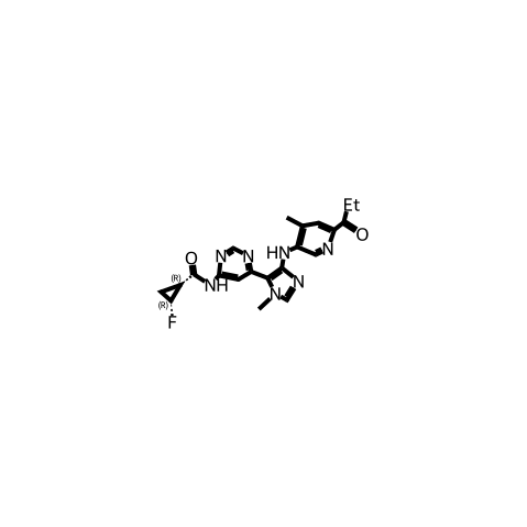 CCC(=O)c1cc(C)c(Nc2ncn(C)c2-c2cc(NC(=O)[C@H]3C[C@H]3F)ncn2)cn1